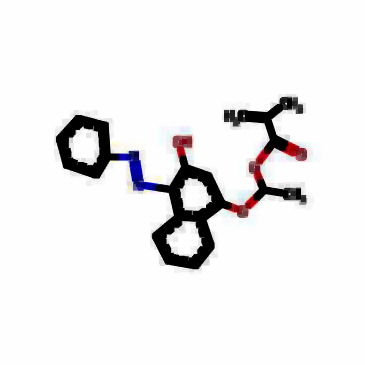 C=C(C)C(=O)OC(C)Oc1cc(O)c(/N=N/c2ccccc2)c2ccccc12